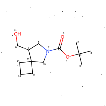 CC(C)(C)OC(=O)N1CC(CO)C2(CCC2)C1